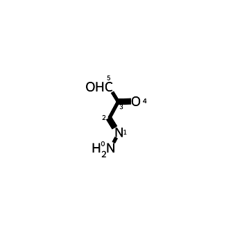 NN=CC(=O)C=O